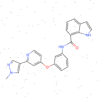 Cn1cc(-c2cc(Oc3cccc(NC(=O)c4cccc5cc[nH]c45)c3)ccn2)cn1